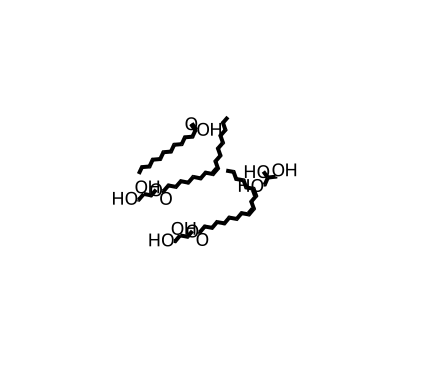 CCCCC/C=C\C/C=C\CCCCCCCC(=O)OCC(O)CO.CCCCCCCC/C=C\CCCCCCCC(=O)OCC(O)CO.CCCCCCCCCCCC(=O)O.OCC(O)CO